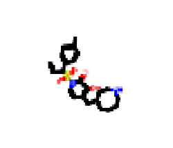 C=CC(c1ccc(C)cc1)S(=O)(=O)n1ccc(CC2CCCCNCC2)c(O)c1=O